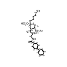 CCSCCCO[C@]1(C(=O)O)C[C@H](C)[C@@H](NC(C)=O)C([C@H](C)[C@H](O)CNC(=O)c2ccc(-c3ccccc3)cc2)O1